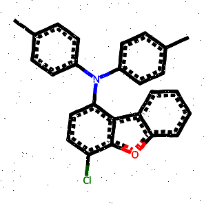 Cc1ccc(N(c2ccc(C)cc2)c2ccc(Cl)c3oc4ccccc4c23)cc1